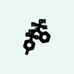 CCC(O)(CC)[C@H](NS(=O)(=O)c1ccc(C)cc1)c1ccccc1